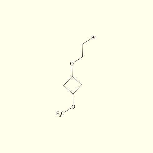 FC(F)(F)OC1CC(OCCBr)C1